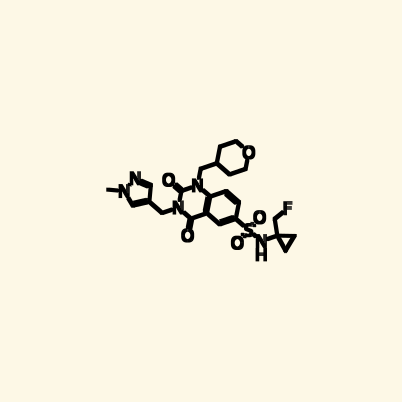 Cn1cc(Cn2c(=O)c3cc(S(=O)(=O)NC4(CF)CC4)ccc3n(CC3CCOCC3)c2=O)cn1